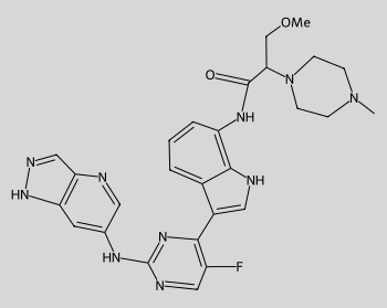 COCC(C(=O)Nc1cccc2c(-c3nc(Nc4cnc5cn[nH]c5c4)ncc3F)c[nH]c12)N1CCN(C)CC1